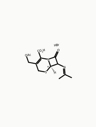 Br.CC(=O)OCC1=C(C(=O)O)N2C(=O)C(N=C(C)C)[C@H]2SC1